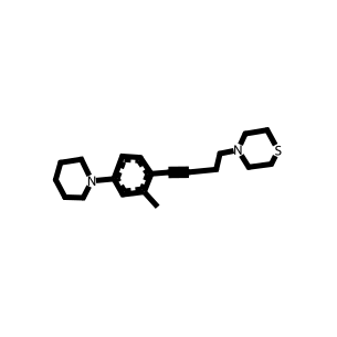 Cc1cc(N2CCCCC2)ccc1C#CCCN1CCSCC1